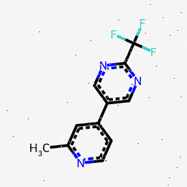 Cc1cc(-c2cnc(C(F)(F)F)nc2)c[c]n1